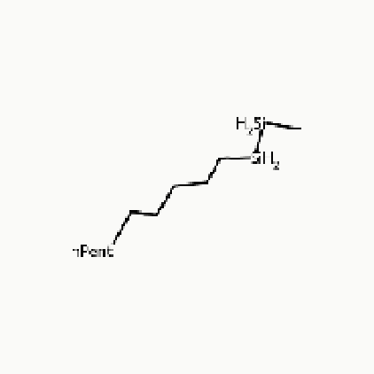 CCCCCCCCCC[SiH2][SiH2]C